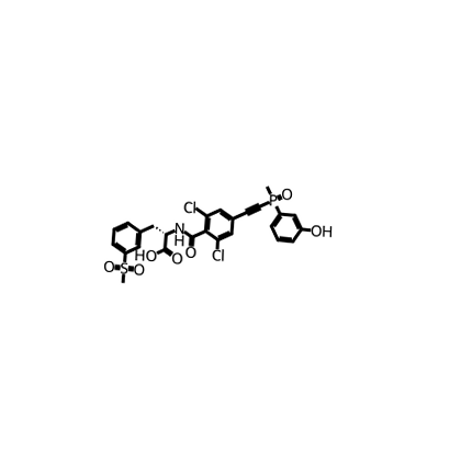 CP(=O)(C#Cc1cc(Cl)c(C(=O)N[C@@H](Cc2cccc(S(C)(=O)=O)c2)C(=O)O)c(Cl)c1)c1cccc(O)c1